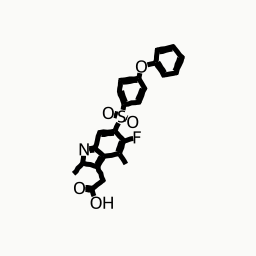 Cc1c(F)c(S(=O)(=O)c2ccc(Oc3ccccc3)cc2)cc2c1=C(CC(=O)O)C(C)N=2